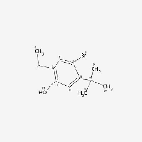 CCc1cc(Br)c(C(C)(C)C)cc1O